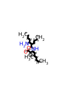 C=C/C=C/C(N)=C(\C=C\C=C)C1N/C(=C/C(C)=C/C=C\C)C(=C)C(=O)O1